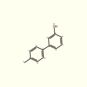 Cc1ccc(-c2cccc(O)c2)cc1